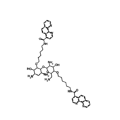 NCC1OC(OC2C(N)CC(N)C(O)C2OCCCCCCNC(=O)c2ccnc3c2ccc2cccnc23)C(N)C(O)C1OCCCCCCNC(=O)c1ccnc2c1ccc1cccnc12